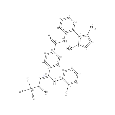 Cc1ccc(C)n1-c1ccccc1NC(=O)c1ccc(/C(=C/C(=N)C(F)(F)F)Nc2ccccc2Cl)cc1